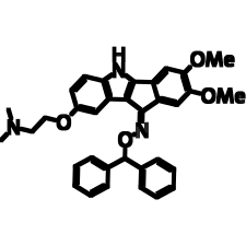 COc1cc2c(cc1OC)-c1[nH]c3ccc(OCCN(C)C)cc3c1C2=NOC(c1ccccc1)c1ccccc1